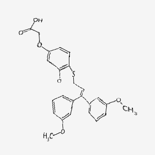 COc1cccc(C(=CCSc2ccc(OCC(=O)O)cc2Cl)c2cccc(OC)c2)c1